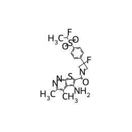 Cc1nnc2sc(C(=O)N3CC(F)(c4ccc(S(=O)(=O)C(C)F)cc4)C3)c(N)c2c1C